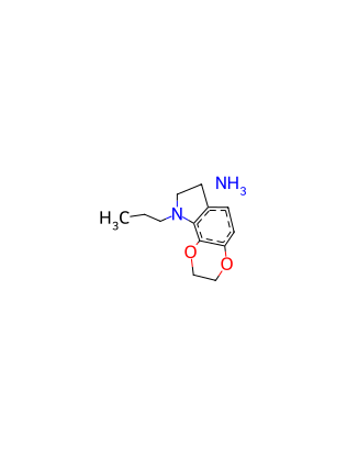 CCCN1CCc2ccc3c(c21)OCCO3.N